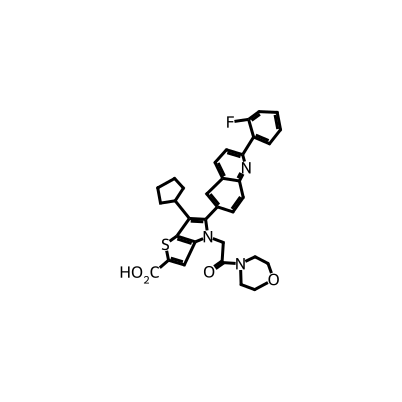 O=C(O)c1cc2c(s1)c(C1CCCC1)c(-c1ccc3nc(-c4ccccc4F)ccc3c1)n2CC(=O)N1CCOCC1